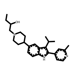 CCC(O)CN1CCC(c2ccc3[nH]c(-c4ccnc(C)c4)c(C(C)C)c3c2)CC1